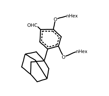 CCCCCCOc1cc(OCCCCCC)c(C23CC4CC(CC(C4)C2)C3)cc1C=O